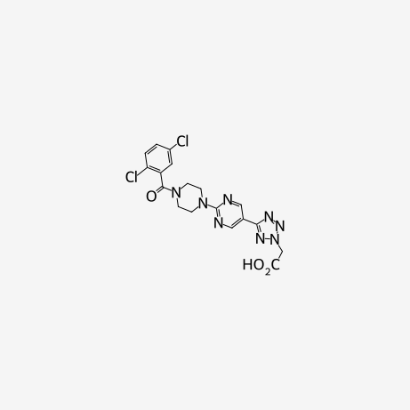 O=C(O)Cn1nnc(-c2cnc(N3CCN(C(=O)c4cc(Cl)ccc4Cl)CC3)nc2)n1